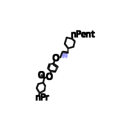 CCCCCC1CCC(/C=C/COc2ccc(OC(=O)C3CCC(CCC)CC3)cc2)CC1